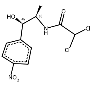 [CH2][C@@H](NC(=O)C(Cl)Cl)[C@H](O)c1ccc([N+](=O)[O-])cc1